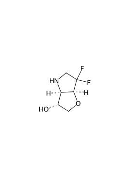 O[C@H]1CO[C@H]2[C@@H]1NCC2(F)F